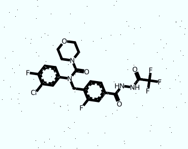 O=C(NNC(=O)C(F)(F)F)c1ccc(CN(C(=O)N2CCOCC2)c2ccc(F)c(Cl)c2)c(F)c1